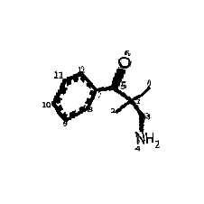 CC(C)(CN)C(=O)c1ccccc1